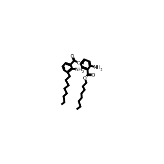 CCCCCCCCOC(=O)c1ccccc1N.CCCCCCCCc1cccc(C(=O)O)c1N